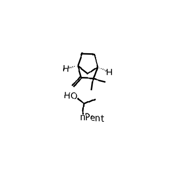 C=C1[C@H]2CC[C@H](C2)C1(C)C.CCCCCC(C)O